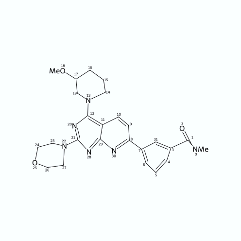 CNC(=O)c1cccc(-c2ccc3c(N4CCCC(OC)C4)nc(N4CCOCC4)nc3n2)c1